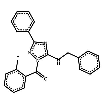 O=C(c1ccccc1F)n1nc(-c2ccccc2)nc1NCc1ccccc1